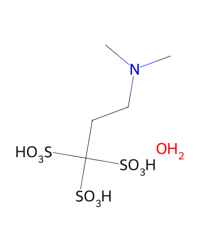 CN(C)CCC(S(=O)(=O)O)(S(=O)(=O)O)S(=O)(=O)O.O